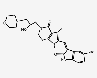 Cc1c(C=C2C(=O)Nc3ccc(Br)cc32)[nH]c2c1C(=O)N(CC(O)CN1CCOCC1)CC2